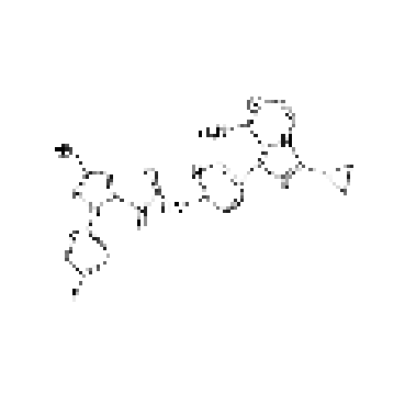 CC(C)(C)c1cc(NC(=O)Nc2ccc(-c3nc(C4CC4)n4ccnc(N)c34)cn2)n(-c2ccc(F)cc2)n1